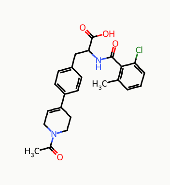 CC(=O)N1CC=C(c2ccc(CC(NC(=O)c3c(C)cccc3Cl)C(=O)O)cc2)CC1